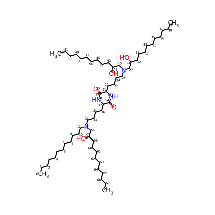 CCCCCCCCCCCCN(CCCCC1NC(=O)C(CCCCN(CC(O)CCCCCCCCCC)CC(O)CCCCCCCCCC)NC1=O)CC(O)CCCCCCCCCC